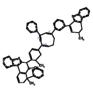 CC1C=C(c2cccc(/C3=C/C(c4ccccc4)=N\C(C4=CC=C(C5c6sc7ccccc7c6C6=C(N5C)C(C)(c5ccccc5)CC=C6)C(C)C4)=C/CC3)c2)c2sc3ccccc3c2C1